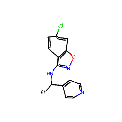 CCC(Nc1noc2cc(Cl)ccc12)c1ccncc1